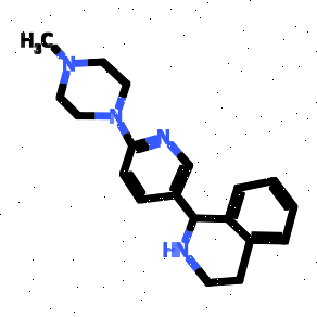 CN1CCN(c2ccc(C3NCCc4ccccc43)cn2)CC1